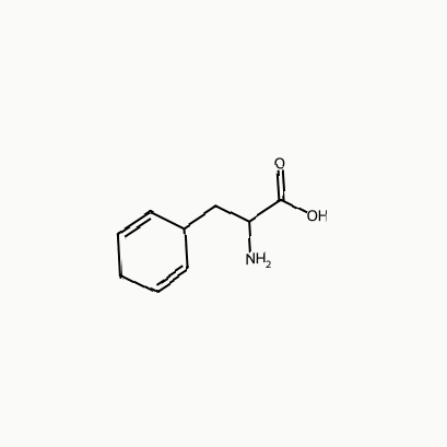 NC(CC1C=CCC=C1)C(=O)O